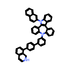 C1=Cc2cccc(-c3ccc(-c4cccc(N5c6ccccc6-c6c(n(-c7ccc8ccccc8c7)c7ccccc67)-c6ccccc65)c4)cc3)c2CN1